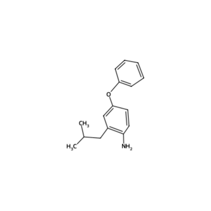 CC(C)Cc1cc(Oc2ccccc2)ccc1N